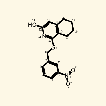 O=[N+]([O-])c1cccc(CSc2nc(O)cc3c2CCCC3)c1